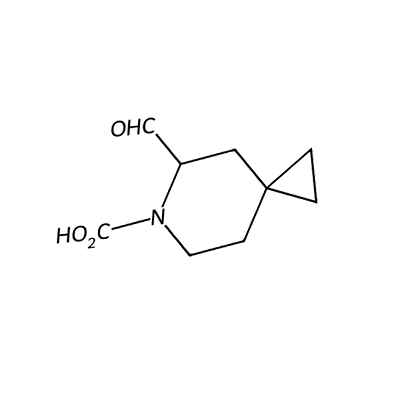 O=CC1CC2(CCN1C(=O)O)CC2